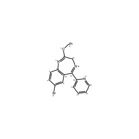 CC(C)OC1=Nc2ccc(Br)cc2C(c2ccccn2)=NC1